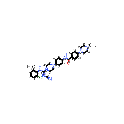 Cc1cccc(Cl)c1N/C(=N/C#N)N1CCN(c2ccc(NC(=O)c3ccc(N4CCN(C)CC4)cc3)cc2)CC1